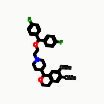 COc1cc2c(cc1OC)C(C1CCN(CCOC(c3ccc(F)cc3)c3ccc(F)cc3)CC1)OCC2